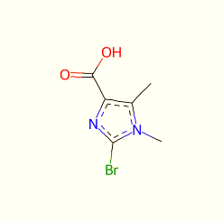 Cc1c(C(=O)O)nc(Br)n1C